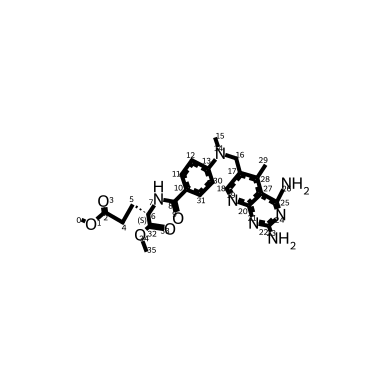 COC(=O)CC[C@H](NC(=O)c1ccc(N(C)Cc2cnc3nc(N)nc(N)c3c2C)cc1)C(=O)OC